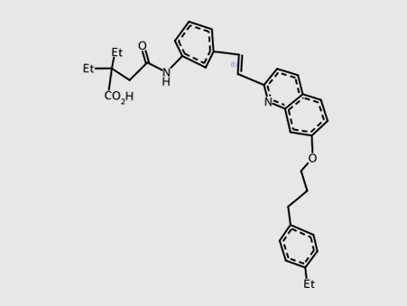 CCc1ccc(CCCOc2ccc3ccc(/C=C/c4cccc(NC(=O)CC(CC)(CC)C(=O)O)c4)nc3c2)cc1